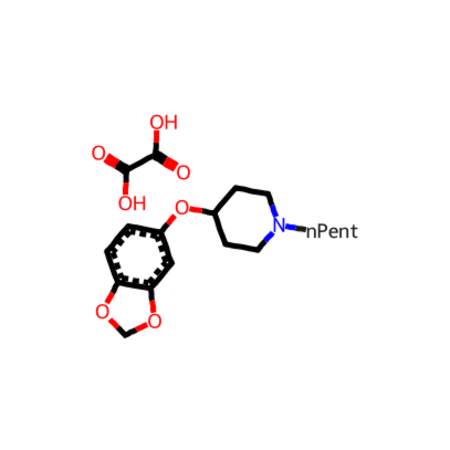 CCCCCN1CCC(Oc2ccc3c(c2)OCO3)CC1.O=C(O)C(=O)O